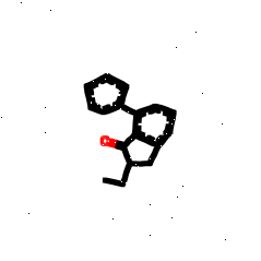 CCC1Cc2cccc(-c3ccccc3)c2C1=O